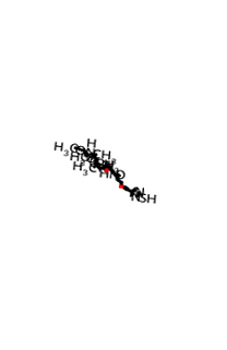 CCOCC(=O)NC(C)(C)COC(C)(C)Cn1cc(CNC(=O)CCCC#Cc2cnc(S)nc2)nn1